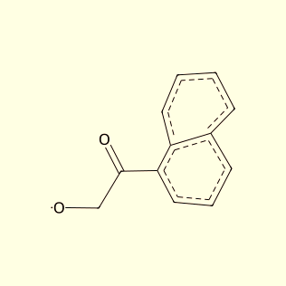 [O]CC(=O)c1cccc2ccccc12